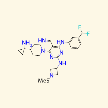 CSN1CC(Nc2nc(Nc3cccc(C(F)F)c3)c(C=N)c(N3CCC(C4(N)CC4)CC3)n2)C1